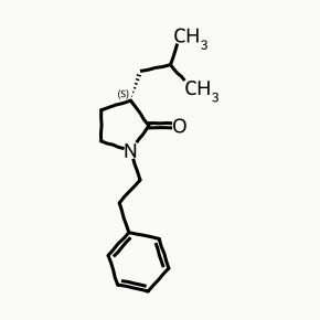 CC(C)C[C@H]1CCN(CCc2ccccc2)C1=O